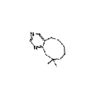 CC1(C)CCCCCc2cncnc2C1